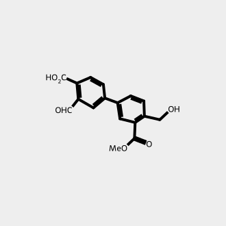 COC(=O)c1cc(-c2ccc(C(=O)O)c(C=O)c2)ccc1CO